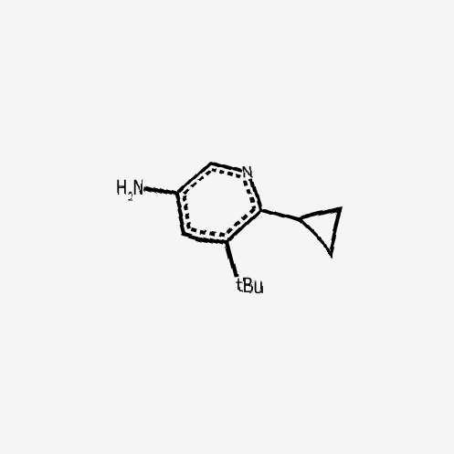 CC(C)(C)c1cc(N)cnc1C1CC1